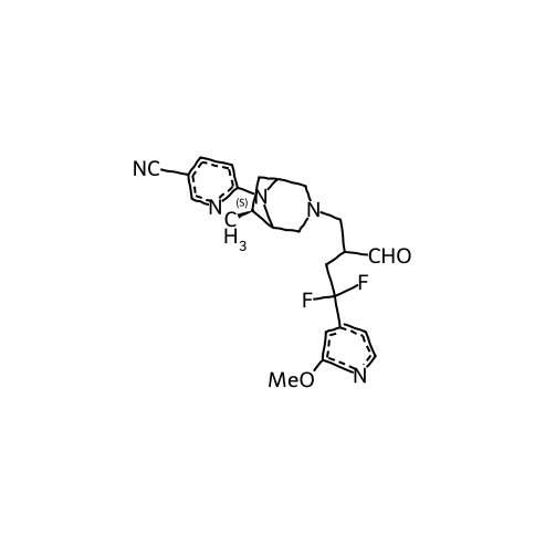 COc1cc(C(F)(F)CC(C=O)CN2CC3C[C@H](C)C(C2)N3c2ccc(C#N)cn2)ccn1